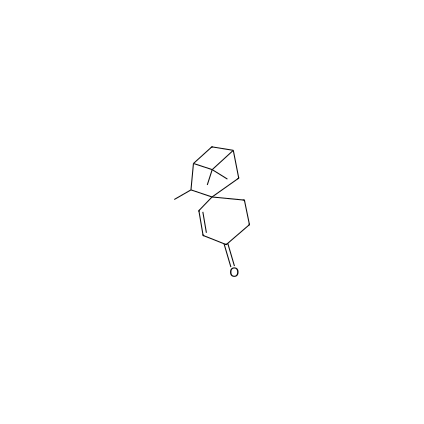 CC1C2CC(CC13C=CC(=O)CC3)C2(C)C